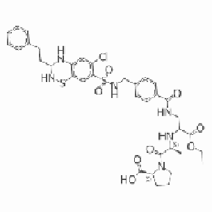 CCOC(=O)C(CNC(=O)c1ccc(CNS(=O)(=O)c2cc3c(cc2Cl)NC(CCc2ccccc2)NS3)cc1)N[C@@H](C)C(=O)N1CCC[C@H]1C(=O)O